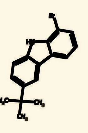 CC(C)(C)c1ccc2[nH]c3c(Br)cccc3c2c1